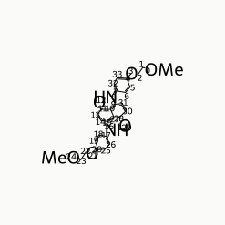 COCCOc1ccc(NC2=C3C(=O)C=CC(Nc4ccc(OCCOC)cc4)=C3C(=O)C=C2)cc1